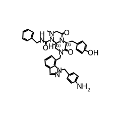 CN1CC(=O)N2[C@@H](Cc3ccc(O)cc3)C(=O)N(Cc3cccc4cnn(Cc5ccc(N)cc5)c34)C[C@@H]2N1C(=O)NCc1ccccc1